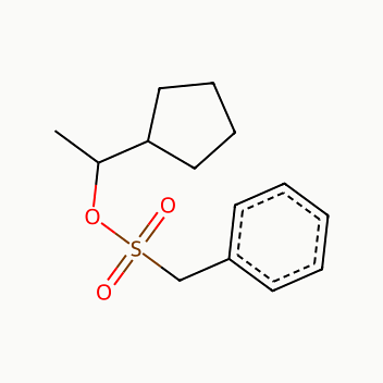 CC(OS(=O)(=O)Cc1ccccc1)C1CCCC1